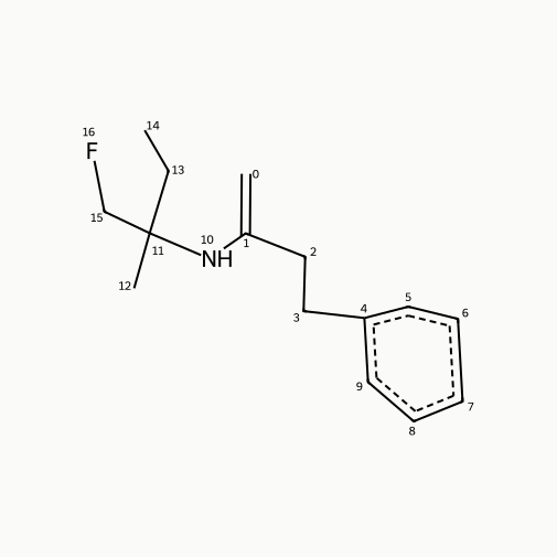 C=C(CCc1ccccc1)NC(C)(CC)CF